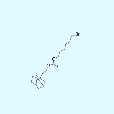 O=C(OCCCCCCBr)OCCC12CC3CC(CC(C3)C1)C2